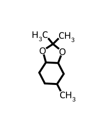 CC1CCC2OC(C)(C)OC2C1